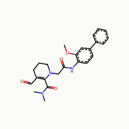 COc1cc(-c2ccccc2)ccc1NC(=O)CN1CCCC(C=O)=C1C(=O)N(C)C